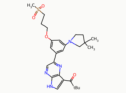 CC1(C)CCN(c2cc(OCCCS(C)(=O)=O)cc(-c3cnc4[nH]cc(C(=O)C(C)(C)C)c4n3)c2)C1